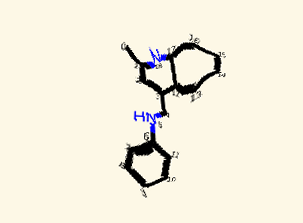 Cc1cc(CNc2cc[c]cc2)c2ccccc2n1